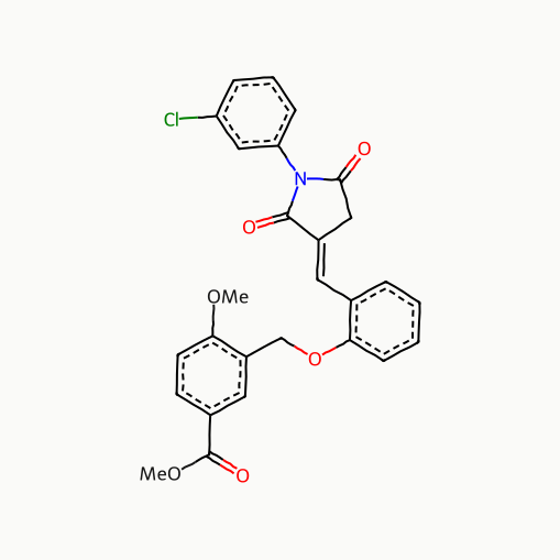 COC(=O)c1ccc(OC)c(COc2ccccc2/C=C2\CC(=O)N(c3cccc(Cl)c3)C2=O)c1